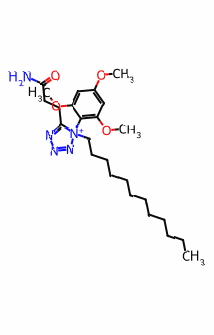 CCCCCCCCCCCC[N+]1(c2c(OC)cc(OC)cc2OC)N=NN=C1CCC(N)=O